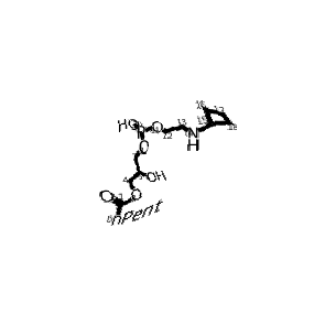 CCCCCC(=O)OCC(O)COP(O)OCCNC1CCC1